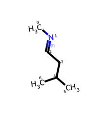 C/N=C/CC(C)C